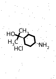 CC(C)(O)[C@H]1CC[C@H](N)CC1.Cl